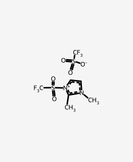 Cc1n(C)cc[n+]1S(=O)(=O)C(F)(F)F.O=S(=O)([O-])C(F)(F)F